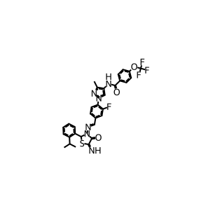 Cc1nn(-c2ccc(/C=N/N3C(=O)C(=N)SC3c3ccccc3C(C)C)cc2F)cc1NC(=O)c1ccc(OC(F)(F)F)cc1